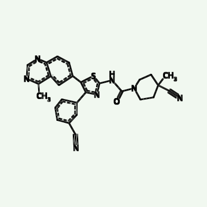 Cc1ncnc2ccc(-c3sc(NC(=O)N4CCC(C)(C#N)CC4)nc3-c3cccc(C#N)c3)cc12